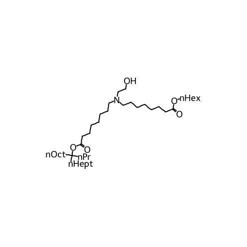 CCCCCCCCC(CCC)(CCCCCCC)OC(=O)CCCCCCCN(CCO)CCCCCCCC(=O)OCCCCCC